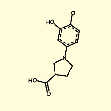 O=C(O)C1CCN(c2ccc(Cl)c(O)c2)C1